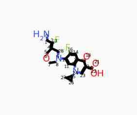 NC/C(F)=C1\COCCN(c2cc3c(cc2F)c(=O)c(C(=O)O)cn3C2CC2)C1